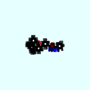 c1ccc(C2NN=C(c3cccc(-c4cccc5c4Oc4ccccc4C54c5ccccc5-c5ccccc54)c3)O2)cc1